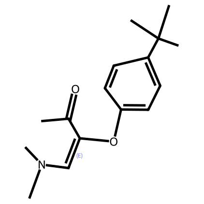 CC(=O)/C(=C\N(C)C)Oc1ccc(C(C)(C)C)cc1